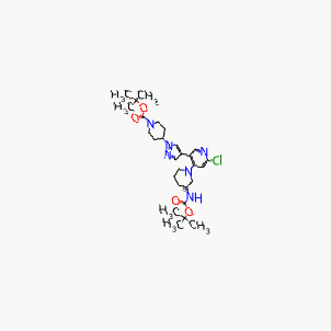 CC(C)(C)OC(=O)N[C@H]1CCCN(c2cc(Cl)ncc2-c2cnn(C3CCN(C(=O)OC(C)(C)C)CC3)c2)C1